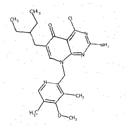 CCC(CC)Cc1cn(Cc2ncc(C)c(OC)c2C)c2nc(N)nc(Cl)c2c1=O